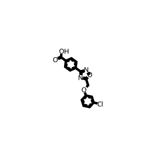 O=C(O)c1ccc(-c2noc(COc3cccc(Cl)c3)n2)cc1